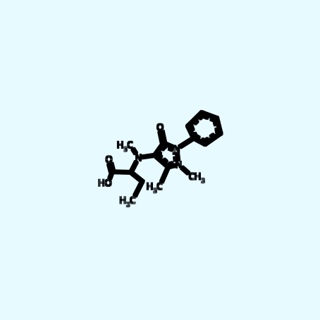 CCC(C(=O)O)N(C)c1c(C)n(C)n(-c2ccccc2)c1=O